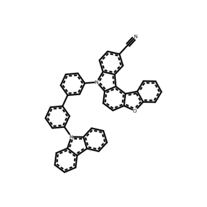 N#Cc1ccc2c(c1)c1c3c(ccc1n2-c1cccc(-c2cccc(-n4c5ccccc5c5ccccc54)c2)c1)oc1ccccc13